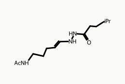 CC(=O)NCCCC=CNNC(=O)CCC(C)C